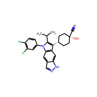 CC(C)c1c([C@H]2CC[C@](O)(C#N)CC2)c2cc3[nH]ncc3cc2n1-c1ccc(F)c(F)c1